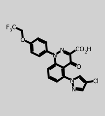 O=C(O)c1nn(-c2ccc(OCC(F)(F)F)cc2)c2cccc(-n3cc(Cl)cn3)c2c1=O